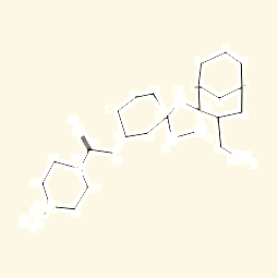 CCC1CC2CCCC(C2)[C@@]12OO[C@@]1(CCC[C@@H](CC(=O)N3CCN(C)CC3)C1)O2